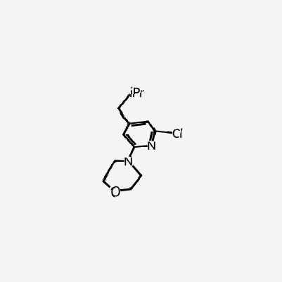 CC(C)Cc1cc(Cl)nc(N2CCOCC2)c1